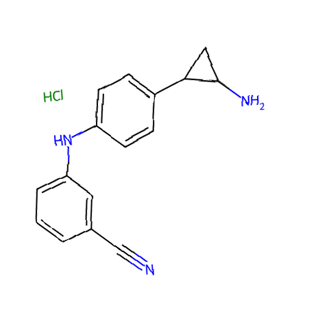 Cl.N#Cc1cccc(Nc2ccc(C3CC3N)cc2)c1